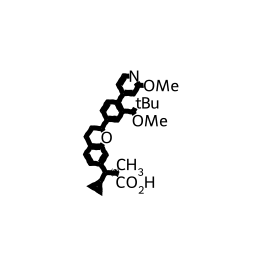 COc1cc(-c2ccc(C3CCc4ccc(C(C5CC5)[C@H](C)C(=O)O)cc4O3)cc2C(OC)C(C)(C)C)ccn1